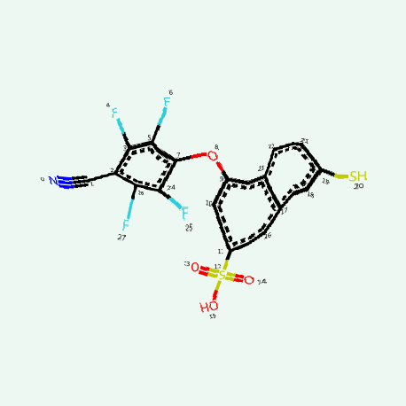 N#Cc1c(F)c(F)c(Oc2cc(S(=O)(=O)O)cc3cc(S)ccc23)c(F)c1F